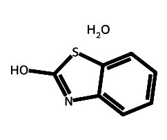 O.Oc1nc2ccccc2s1